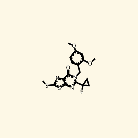 COc1ccc(Cn2c(C3(F)CC3)nc3sc(SC)nc3c2=O)c(OC)c1